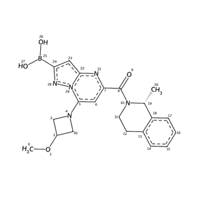 COC1CN(c2cc(C(=O)N3CCc4ccccc4[C@H]3C)nc3cc(B(O)O)nn23)C1